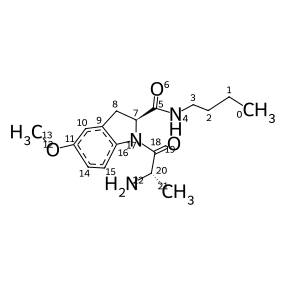 CCCCNC(=O)[C@@H]1Cc2cc(OC)ccc2N1C(=O)[C@H](C)N